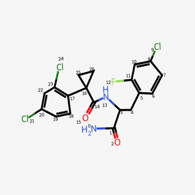 NC(=O)C(Cc1ccc(Cl)cc1F)NC(=O)C1(c2ccc(Cl)cc2Cl)CC1